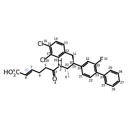 C[C@H](NC(=O)CC/C=C/C(=O)O)[C@@H](Cc1ccc(Cl)c(Cl)c1)c1ccc(-c2ccccc2)c(F)c1